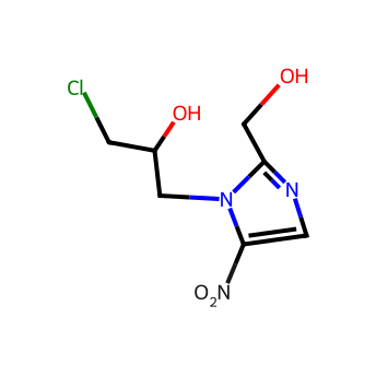 O=[N+]([O-])c1cnc(CO)n1CC(O)CCl